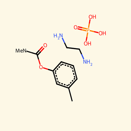 CNC(=O)Oc1cccc(C)c1.NCCN.O=P(O)(O)O